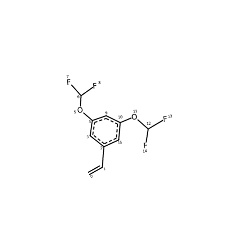 C=Cc1cc(OC(F)F)cc(OC(F)F)c1